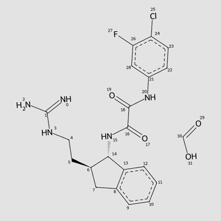 N=C(N)NCC[C@@H]1Cc2ccccc2[C@H]1NC(=O)C(=O)Nc1ccc(Cl)c(F)c1.O=CO